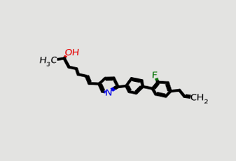 C=CCc1ccc(-c2ccc(-c3ccc(C=CCCCC(C)O)cn3)cc2)c(F)c1